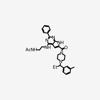 CCC(c1cccc(C)c1)N1CCN(C(=O)c2cc3c(NCCNC(C)=O)nc(-c4ccccc4)nc3[nH]2)CC1